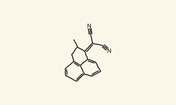 CC1Cc2cccc3cccc(c23)C1=C(C#N)C#N